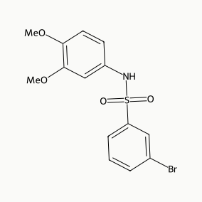 COc1ccc(NS(=O)(=O)c2cccc(Br)c2)cc1OC